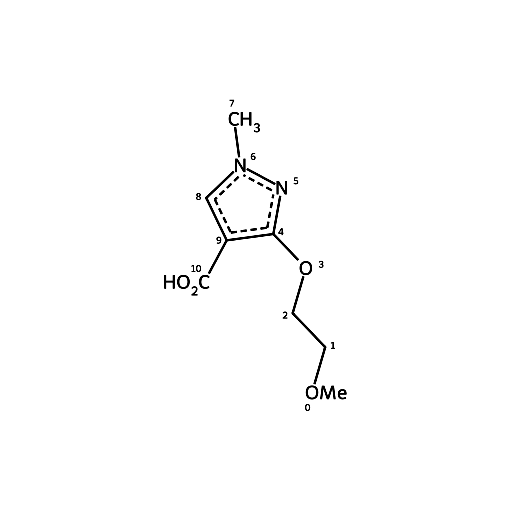 COCCOc1nn(C)cc1C(=O)O